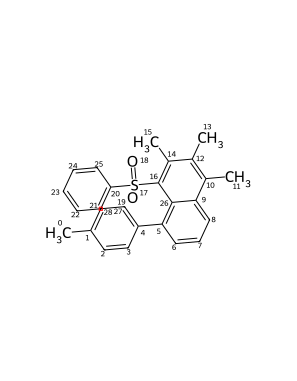 Cc1ccc(-c2cccc3c(C)c(C)c(C)c(S(=O)(=O)c4ccccc4)c23)cc1